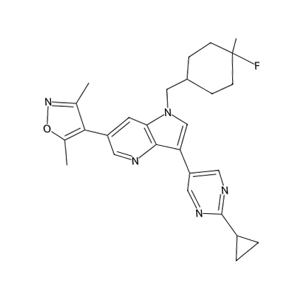 Cc1noc(C)c1-c1cnc2c(-c3cnc(C4CC4)nc3)cn(CC3CCC(C)(F)CC3)c2c1